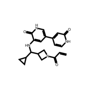 C=CC(=O)N1CC(C(Nc2cc(-c3cc[nH]c(=O)c3)c[nH]c2=O)C2CC2)C1